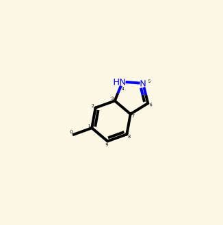 CC1=CC2NN=CC2C=C1